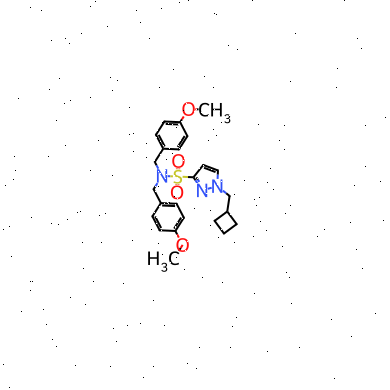 COc1ccc(CN(Cc2ccc(OC)cc2)S(=O)(=O)c2ccn(CC3CCC3)n2)cc1